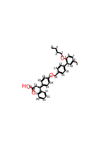 CCCCOc1ccc(C)cc1-c1ccc(COc2ccc(C(CC(=O)O)c3ccccc3)cc2)cc1